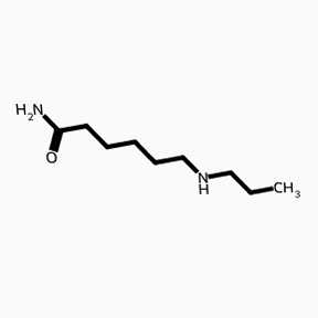 CCCNCCCCCC(N)=O